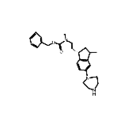 CC1C[C@@H](CCN(C)C(=O)OCc2ccccc2)c2ccc(N3CCNCC3)cc21